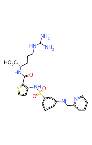 NC(N)NCCC[C@H](NC(=O)c1sccc1NS(=O)(=O)c1cccc(NCc2ccccn2)c1)C(=O)O